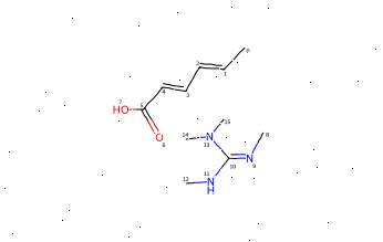 C/C=C/C=C/C(=O)O.CN=C(NC)N(C)C